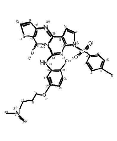 Cc1ccc(S(=O)(=O)n2ccc3c2nc(Nc2cc(OCCCN(C)C)ccc2F)n2c(=O)c4sccc4nc32)cc1